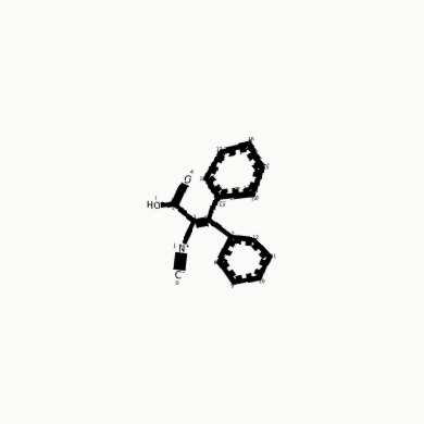 [C-]#[N+]C(C(=O)O)=C(c1ccccc1)c1ccccc1